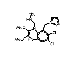 COC1=C(OC)N(CNC(C)(C)C)c2c(cc(Cl)c(Cl)c2Cn2ccnn2)N1